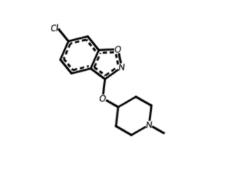 CN1CCC(Oc2noc3cc(Cl)ccc23)CC1